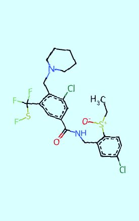 CC[S+]([O-])c1ccc(Cl)cc1CNC(=O)c1cc(Cl)c(CN2CCCCC2)c(C(F)(F)SF)c1